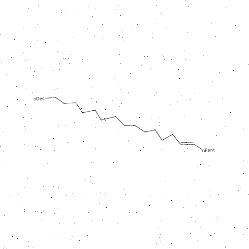 [CH2]CCCCCCCCCCCCCCCCCCCCCCC=CCCCCC